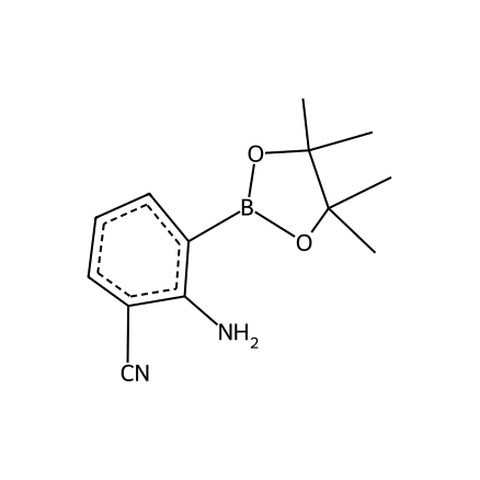 CC1(C)OB(c2cccc(C#N)c2N)OC1(C)C